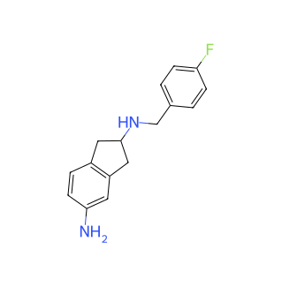 Nc1ccc2c(c1)CC(NCc1ccc(F)cc1)C2